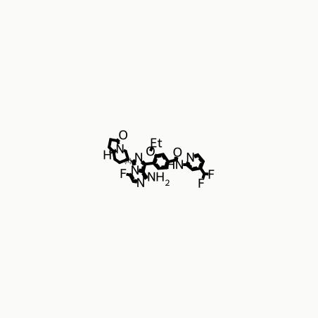 CCOc1cc(C(=O)Nc2cc(C(F)F)ccn2)ccc1-c1nc([C@@H]2CC[C@H]3CCC(=O)N3C2)n2c(F)cnc(N)c12